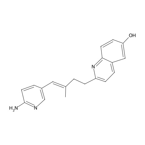 C/C(=C\c1ccc(N)nc1)CCc1ccc2cc(O)ccc2n1